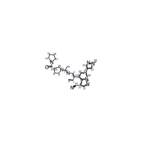 C=C/C(=C\N=C(/C)N1CC[C@H](C(=O)N2CCCC2)C1)c1cc(-c2cnn(C)c2)cn2ncc(C#N)c12